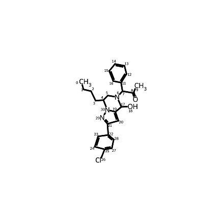 CCCCC1CN(C(C(C)=O)c2ccccc2)C(O)c2cc(-c3ccc(Cl)cc3)nn21